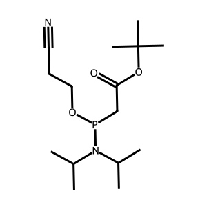 CC(C)N(C(C)C)P(CC(=O)OC(C)(C)C)OCCC#N